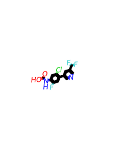 O=C(O)Nc1cc(Cl)c(-c2cncc(C(F)F)c2)cc1F